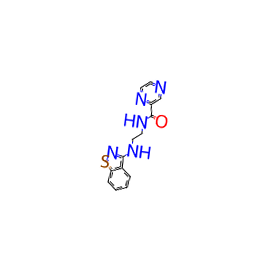 O=C(NCCNc1nsc2ccccc12)c1cnccn1